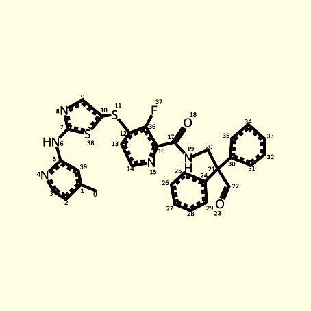 Cc1ccnc(Nc2ncc(Sc3ccnc(C(=O)NCC(C=O)(c4ccccc4)c4ccccc4)c3F)s2)c1